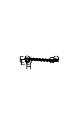 CCO[SiH](CCCCCCCCCCCCCCOCC1CO1)OCC